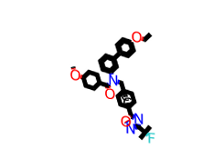 CCOc1ccc(-c2cccc(N(CC34CCC(c5nc(C(C)(C)F)no5)(CC3)CC4)C(=O)C3CCC(OC)CC3)c2)cc1